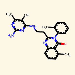 Cc1ccccc1-n1c(CCNc2nc(N)nc(C)c2C#N)nc2cccc(C)c2c1=O